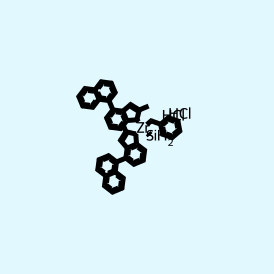 CC1=Cc2c(-c3cccc4ccccc34)cccc2[CH]1[Zr](=[SiH2])([CH2]c1ccccc1)[CH]1C(C)=Cc2c(-c3cccc4ccccc34)cccc21.Cl.Cl